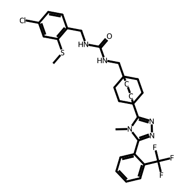 CSc1cc(Cl)ccc1CNC(=O)NCC12CCC(c3nnc(-c4ccccc4C(F)(F)F)n3C)(CC1)CC2